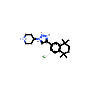 CC1(C)CCC(C)(C)c2cc(-c3cn(C4CCNCC4)nn3)ccc21.Cl